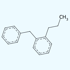 CCCc1ccccc1Cc1ccccc1